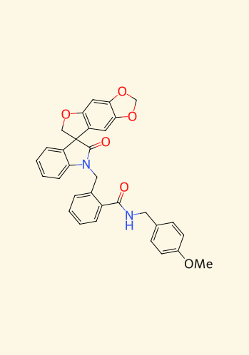 COc1ccc(CNC(=O)c2ccccc2CN2C(=O)C3(COc4cc5c(cc43)OCO5)c3ccccc32)cc1